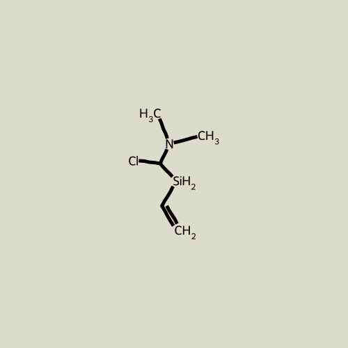 C=C[SiH2]C(Cl)N(C)C